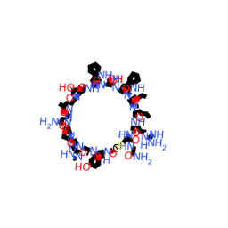 CCCC[C@H]1C(=O)N(C)[C@@H](CCCC)C(=O)N[C@@H](CCCNC(=N)N)C(=O)NC(C(=O)NCC(N)=O)CSCC(=O)N[C@@H](Cc2ccc(O)cc2)C(=O)N(C)[C@@H](C)C(=O)N[C@@H](Cc2cnc[nH]2)C(=O)N2CCC[C@H]2C(=O)N[C@@H](CC(N)=O)C(=O)N[C@@H](CC(C)C)C(=O)N2C[C@H](O)C[C@H]2C(=O)N[C@@H](Cc2c[nH]c3ccccc23)C(=O)N[C@@H](CO)C(=O)N[C@@H](Cc2c[nH]c3ccccc23)C(=O)N1C